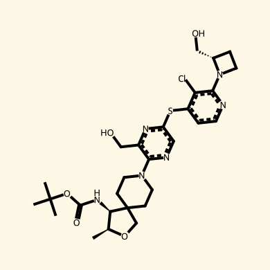 C[C@@H]1OCC2(CCN(c3ncc(Sc4ccnc(N5CC[C@H]5CO)c4Cl)nc3CO)CC2)[C@@H]1NC(=O)OC(C)(C)C